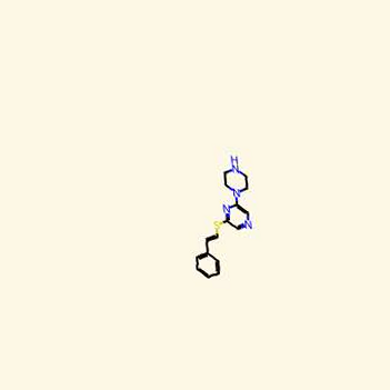 C(=Cc1ccccc1)Sc1cncc(N2CCNCC2)n1